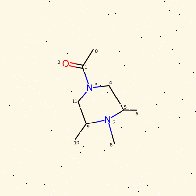 CC(=O)N1CC(C)N(C)C(C)C1